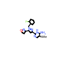 CNC1=CN=C(c2cc(-c3ccon3)n(Cc3ccccc3F)n2)NC1N